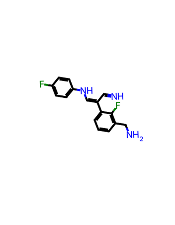 N=C/C(=C\Nc1ccc(F)cc1)c1cccc(CN)c1F